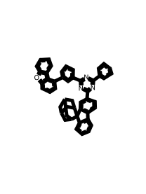 c1ccc(-c2nc(-c3cccc(-c4cccc5oc6ccccc6c45)c3)nc(-c3ccc4c(c3)C3(c5ccccc5-4)C4CC5CC(C4)CC3C5)n2)cc1